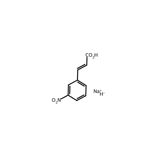 O=C(O)C=Cc1cccc([N+](=O)[O-])c1.[H-].[Na+]